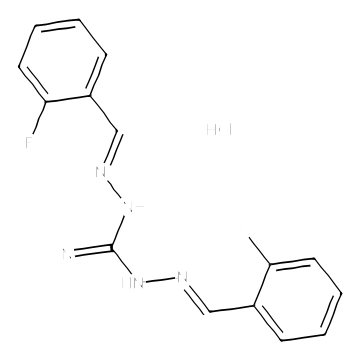 Cl.N=C(NN=Cc1ccccc1F)NN=Cc1ccccc1F